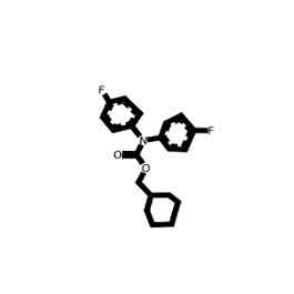 O=C(OCC1CCCCC1)N(c1ccc(F)cc1)c1ccc(F)cc1